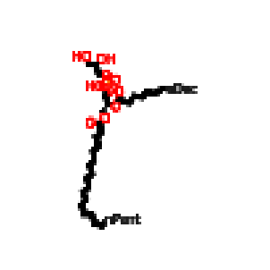 CCCCC/C=C\C/C=C\CCCCCCCCCCCC(=O)OC[C@H](COP(=O)(O)OC[C@@H](O)CO)OC(=O)CCCCCCCCCCCCCCCC